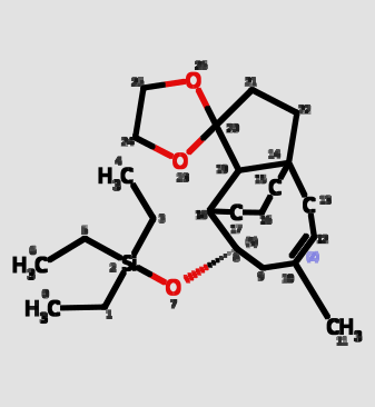 CC[Si](CC)(CC)O[C@H]1C/C(C)=C\CC23CCCC1C2C1(CC3)OCCO1